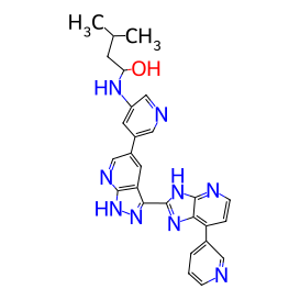 CC(C)CC(O)Nc1cncc(-c2cnc3[nH]nc(-c4nc5c(-c6cccnc6)ccnc5[nH]4)c3c2)c1